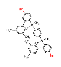 Cc1cc(C)cc(-c2cc(O)ccc2C(C)(C)c2ccc(C(C)(C)c3ccc(O)cc3-c3cc(C)cc(C)c3)cc2)c1